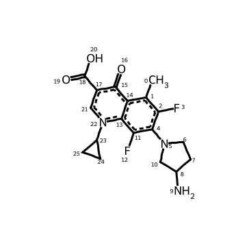 Cc1c(F)c(N2CCC(N)C2)c(F)c2c1c(=O)c(C(=O)O)cn2C1CC1